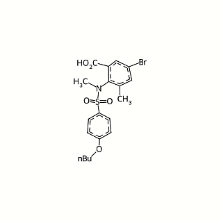 CCCCOc1ccc(S(=O)(=O)N(C)c2c(C)cc(Br)cc2C(=O)O)cc1